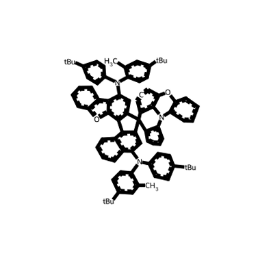 Cc1cc(C(C)(C)C)ccc1N(c1ccc(C(C)(C)C)cc1)c1cc2c(c3ccccc13)-c1c(cc(N(c3ccc(C(C)(C)C)cc3)c3ccc(C(C)(C)C)cc3C)c3c1oc1ccccc13)C21c2ccccc2N2c3ccccc3Oc3cccc1c32